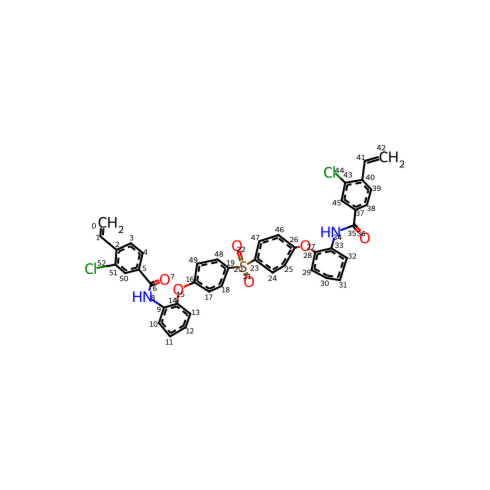 C=Cc1ccc(C(=O)Nc2ccccc2Oc2ccc(S(=O)(=O)c3ccc(Oc4ccccc4NC(=O)c4ccc(C=C)c(Cl)c4)cc3)cc2)cc1Cl